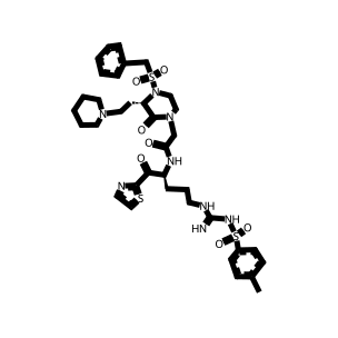 Cc1ccc(S(=O)(=O)NC(=N)NCCC[C@H](NC(=O)CN2CCN(S(=O)(=O)Cc3ccccc3)[C@@H](CCN3CCCCC3)C2=O)C(=O)c2nccs2)cc1